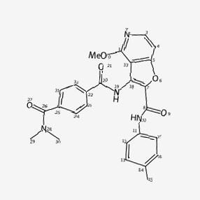 COc1nccc2oc(C(=O)Nc3ccc(C)cc3)c(NC(=O)c3ccc(C(=O)N(C)C)cc3)c12